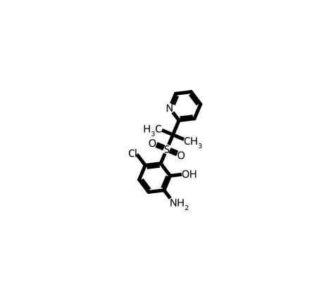 CC(C)(c1ccccn1)S(=O)(=O)c1c(Cl)ccc(N)c1O